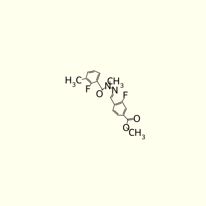 COC(=O)c1ccc(/C=N/N(C)C(=O)c2cccc(C)c2F)c(F)c1